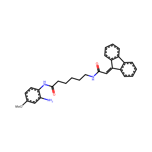 COc1ccc(NC(=O)CCCCCNC(=O)C=C2c3ccccc3-c3ccccc32)c(N)c1